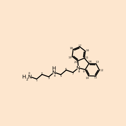 NCCCNCCCn1c2ccccc2c2ccccc21